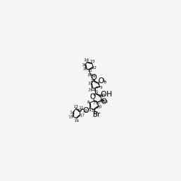 COc1cc(-c2oc3cc(OCc4ccccc4)c(Br)cc3c(=O)c2O)ccc1OCc1ccccc1